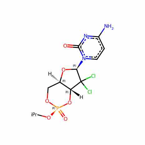 CC(C)O[P@@]1(=O)OC[C@H]2O[C@@H](n3ccc(N)nc3=O)C(Cl)(Cl)[C@@H]2O1